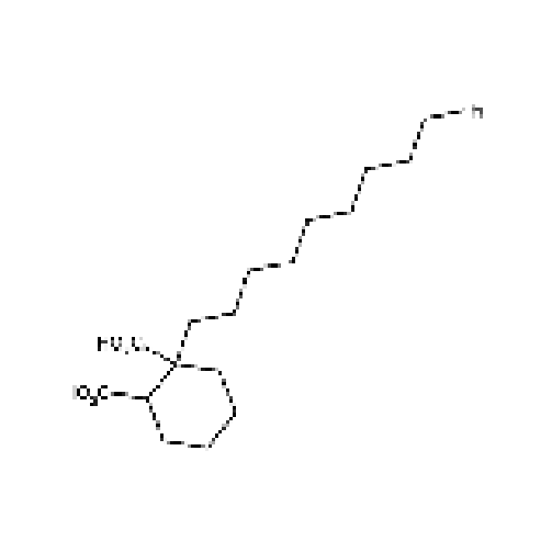 CC(C)CCCCCCCCCC1(C(=O)O)CCCCC1C(=O)O